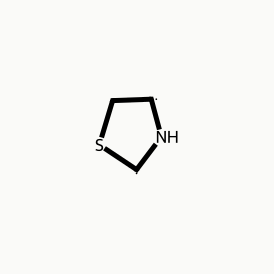 [CH]1CS[CH]N1